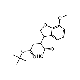 COc1cccc2c1OCC2C(CC(=O)OC(C)(C)C)C(=O)O